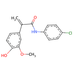 C=C(C(=O)Nc1ccc(Cl)cc1)c1ccc(O)c(OC)c1